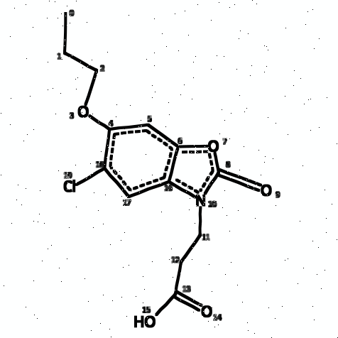 CCCOc1cc2oc(=O)n(CCC(=O)O)c2cc1Cl